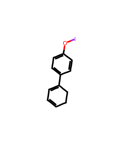 IOc1ccc(C2=CC=CCC2)cc1